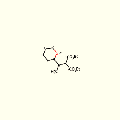 CCOC(=O)C(C(=O)OCC)C(C)C1CCCCO1